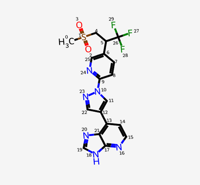 CS(=O)(=O)CC(c1ccc(-n2cc(-c3ccnc4[nH]cnc34)cn2)nc1)C(F)(F)F